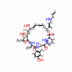 C=CCNC/C=C(\C)[C@@H]1C/C=C/C=C/[C@H](O)[C@H](C)[C@@H](O)[C@@H](CCC(C)=O)C(=O)NC(C(C)C)C(=O)N[C@@H](Cc2cccc(O)c2)C(=O)N2CCCC(N2)C(=O)O1